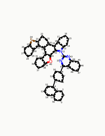 c1ccc2c(-c3ccc(-c4nc(-n5c6ccccc6c6c7ccc8sc9ccccc9c8c7c7c8ccccc8oc7c65)nc5ccccc45)cc3)cccc2c1